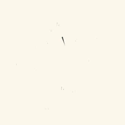 COC(=O)O[C@@H]1[C@H](O[Si](C)(C)C(C)(C)C)[C@](C#N)(OC(=O)OC)C=C[C@]12CC(=O)N2OCc1ccccc1